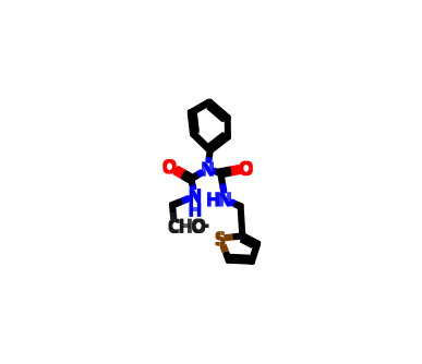 O=[C]CNC(=O)N(C(=O)NCc1cccs1)c1ccccc1